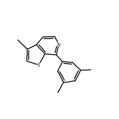 Cc1cc(C)cc(-c2nccc3c(C)csc23)c1